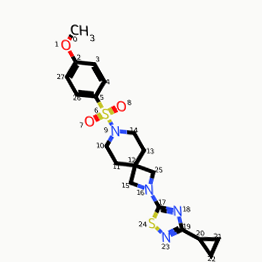 COc1ccc(S(=O)(=O)N2CCC3(CC2)CN(c2nc(C4CC4)ns2)C3)cc1